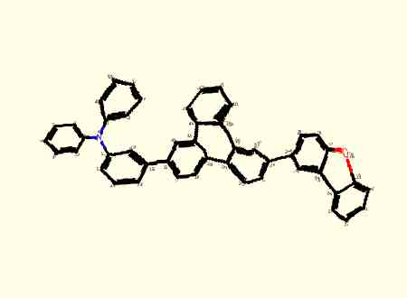 c1ccc(N(c2ccccc2)c2cccc(-c3ccc4c5ccc(-c6ccc7oc8ccccc8c7c6)cc5c5ccccc5c4c3)c2)cc1